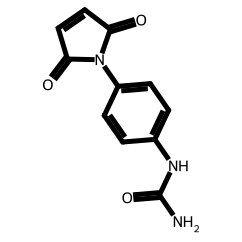 NC(=O)Nc1ccc(N2C(=O)C=CC2=O)cc1